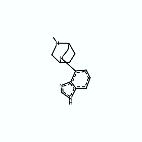 CN1CC2CCC1CN2c1cccc2[nH]cnc12